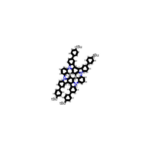 CC(C)(C)c1ccc(-c2ccc3c(c2)c2c4c5cc(-c6ccc(C(C)(C)C)cc6)ccc5n5c4c4c6c2n3-c2cccc3c2B6c2c6c7c(c8cc(-c9ccc(C(C)(C)C)cc9)ccc8n7-c7cccc-5c7B46)c4c5cc(-c6ccc(C(C)(C)C)cc6)ccc5n-3c24)cc1